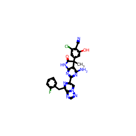 CC1(c2cc(O)c(C#N)c(Cl)c2)C(=O)Nc2nc(-c3cn4ncnc4c(Cc4ccccc4F)n3)nc(N)c21